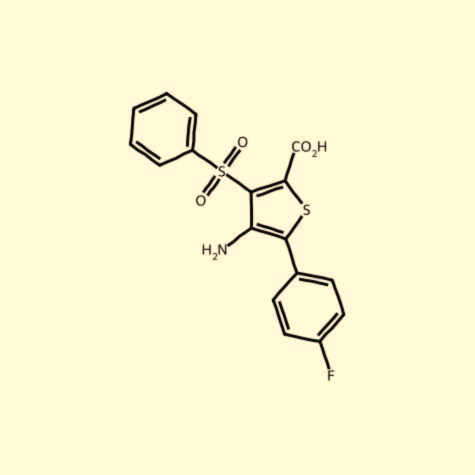 Nc1c(-c2ccc(F)cc2)sc(C(=O)O)c1S(=O)(=O)c1ccccc1